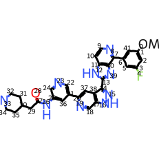 COc1cc(F)cc(-c2nccc3[nH]c(-c4n[nH]c5cnc(-c6cncc(NC(=O)CC7CCNCC7)c6)cc45)nc23)c1